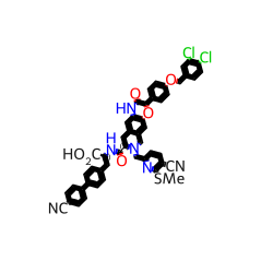 CSc1nc(CN2Cc3cc4c(cc3C[C@H]2C(=O)N[C@@H](Cc2ccc(-c3ccc(C#N)cc3)cc2)C(=O)O)NC(=O)C(c2ccc(OCc3ccc(Cl)c(Cl)c3)cc2)O4)ccc1C#N